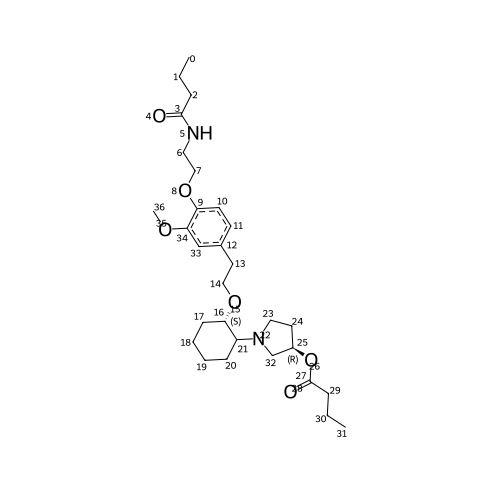 CCCC(=O)NCCOc1ccc(CCO[C@H]2CCCCC2N2CC[C@@H](OC(=O)CCC)C2)cc1OC